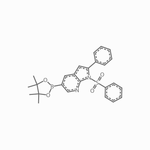 CC1(C)OB(c2cnc3c(c2)cc(-c2ccccc2)n3S(=O)(=O)c2ccccc2)OC1(C)C